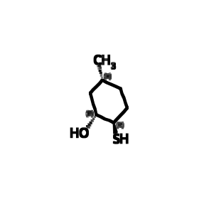 C[C@@H]1CC[C@@H](S)[C@H](O)C1